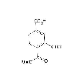 COC(=O)c1ccc(C(=O)O)cc1C=O